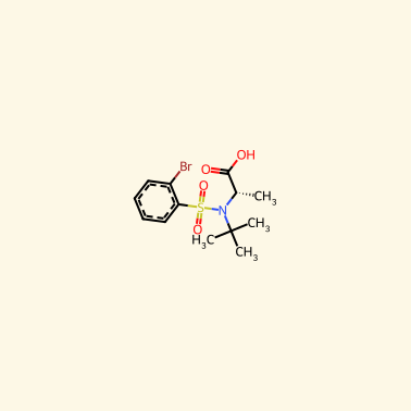 C[C@@H](C(=O)O)N(C(C)(C)C)S(=O)(=O)c1ccccc1Br